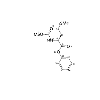 COC(=O)N[C@@H](CCSC)C(=O)Oc1ccccc1